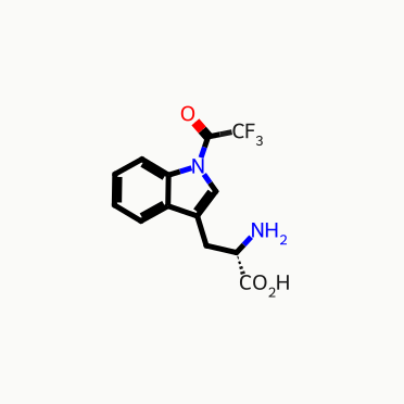 N[C@@H](Cc1cn(C(=O)C(F)(F)F)c2ccccc12)C(=O)O